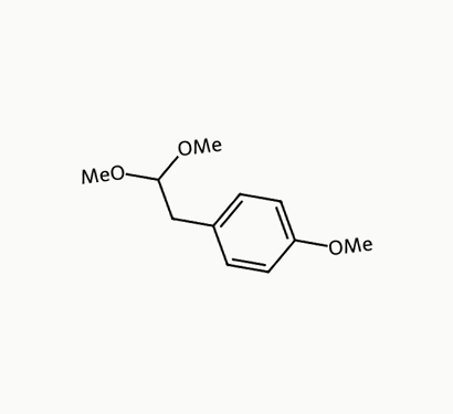 COc1ccc(CC(OC)OC)cc1